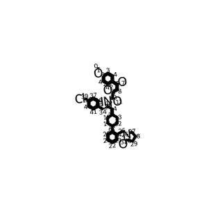 COc1ccc2c(=O)cc(C(=O)N[C@@H](C=C3CCC(c4ccccc4CN4CCCC4=O)CC3)Cc3ccc(Cl)cc3)oc2c1